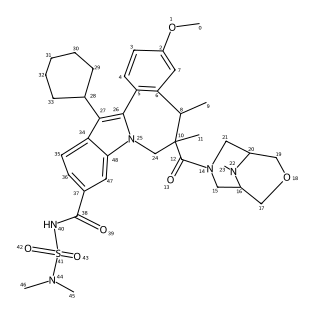 COc1ccc2c(c1)C(C)C(C)(C(=O)N1CC3COCC(C1)N3C)Cn1c-2c(C2CCCCC2)c2ccc(C(=O)NS(=O)(=O)N(C)C)cc21